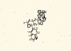 CC1=Cc2cc3c(cc2C(c2ccc4ncccc4c2)O1)oc(=O)n3O[Cl+3]([O-])([O-])[O-]